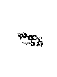 Cc1cc(C(=O)N2CCc3cc(-c4cnc5[nH]cc(C)c5c4)cc([C@@H]4CCCN4C(=O)O)c3C2)ncn1